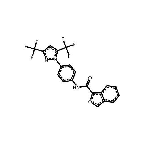 O=C(Nc1ccc(-n2nc(C(F)(F)F)cc2C(F)(F)F)cc1)c1occ2ccccc12